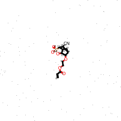 C=CC(=O)OCCOC1C2CC3C1OS(=O)(=O)C3C2C#N